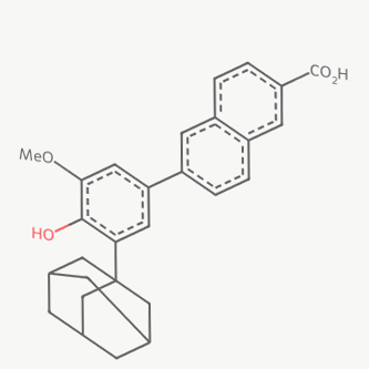 COc1cc(-c2ccc3cc(C(=O)O)ccc3c2)cc(C23CC4CC(CC(C4)C2)C3)c1O